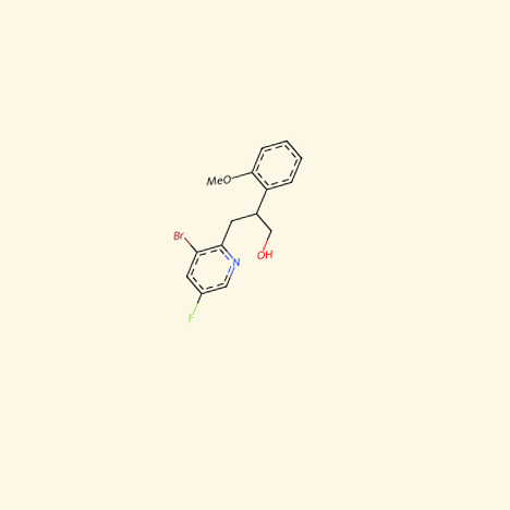 COc1ccccc1C(CO)Cc1ncc(F)cc1Br